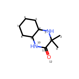 CC1(C)NC2CCCCC2NC1=O